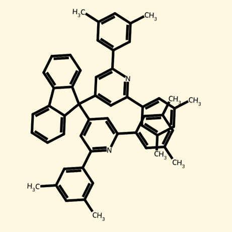 Cc1cc(C)cc(-c2cc(C3(c4cc(-c5cc(C)cc(C)c5)nc(-c5cc(C)cc(C)c5)c4)c4ccccc4-c4ccccc43)cc(-c3cc(C)cc(C)c3)n2)c1